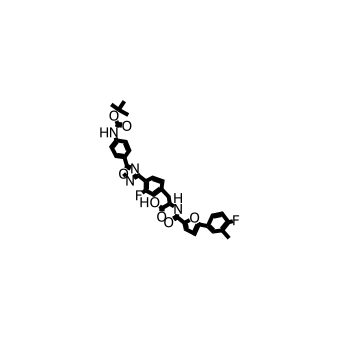 Cc1cc(-c2ccc(C(=O)NC(Cc3ccc(-c4noc(-c5ccc(NC(=O)OC(C)(C)C)cc5)n4)c(F)c3)C(=O)O)o2)ccc1F